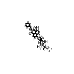 CC(C)(C)OC(=O)N[C@H]1[C@@H]2CN(c3c(F)cc4c5c3SCNC5C(=O)N(OCc3ccccc3)C4=O)C[C@@H]21